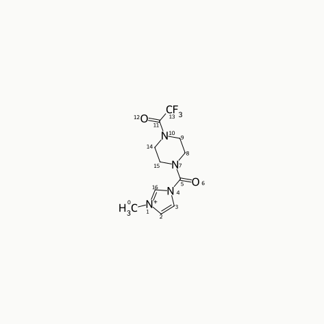 C[n+]1ccn(C(=O)N2CCN(C(=O)C(F)(F)F)CC2)c1